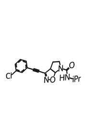 CC(C)NC(=O)N1CCC2C(C#Cc3cccc(Cl)c3)=NOC21